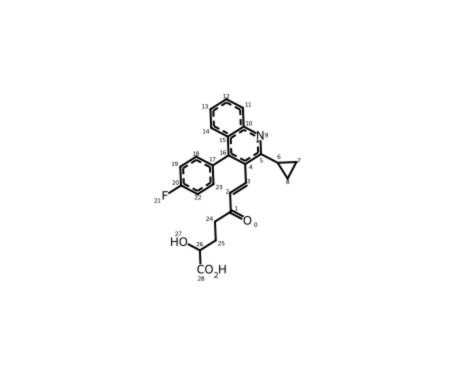 O=C(C=Cc1c(C2CC2)nc2ccccc2c1-c1ccc(F)cc1)CCC(O)C(=O)O